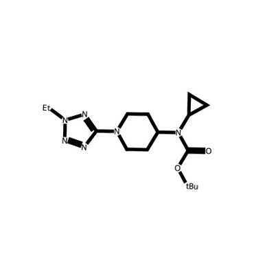 CCn1nnc(N2CCC(N(C(=O)OC(C)(C)C)C3CC3)CC2)n1